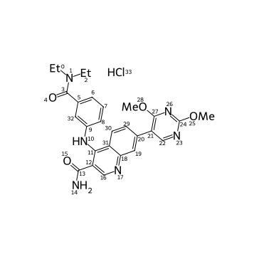 CCN(CC)C(=O)c1cccc(Nc2c(C(N)=O)cnc3cc(-c4cnc(OC)nc4OC)ccc23)c1.Cl